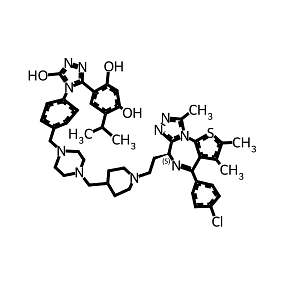 Cc1sc2c(c1C)C(c1ccc(Cl)cc1)=N[C@@H](CCN1CCC(CN3CCN(Cc4ccc(-n5c(O)nnc5-c5cc(C(C)C)c(O)cc5O)cc4)CC3)CC1)c1nnc(C)n1-2